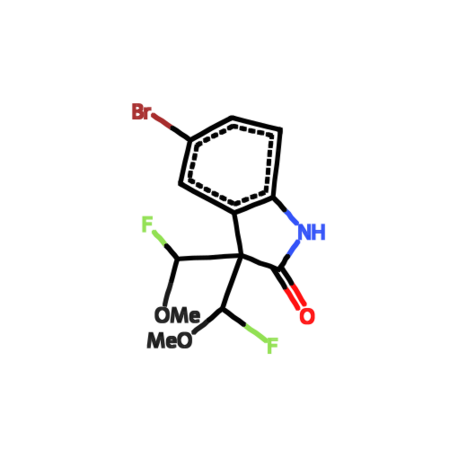 COC(F)C1(C(F)OC)C(=O)Nc2ccc(Br)cc21